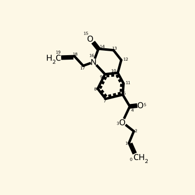 C=CCOC(=O)c1ccc2c(c1)CCC(=O)N2CC=C